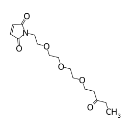 CCC(=O)CCOCCOCCOCCN1C(=O)C=CC1=O